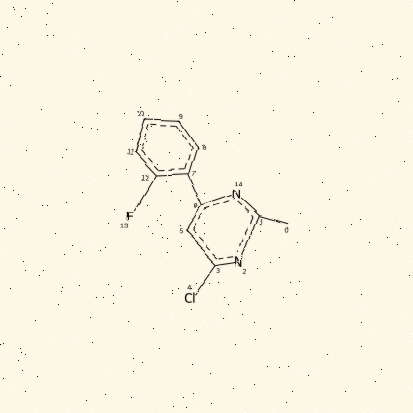 Cc1nc(Cl)cc(-c2ccccc2F)n1